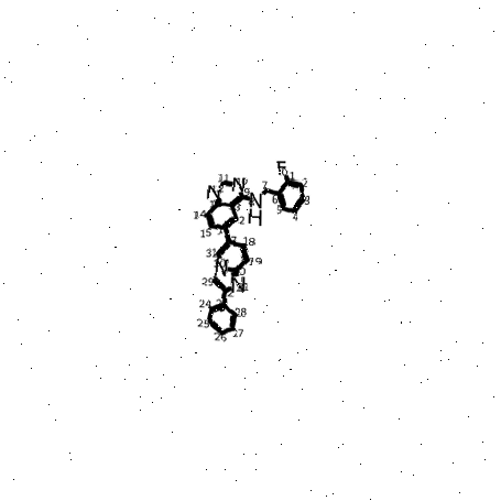 Fc1ccccc1CNc1ncnc2ccc(-c3ccc4nc(-c5ccccc5)cn4c3)cc12